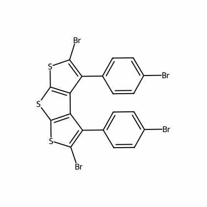 Brc1ccc(-c2c(Br)sc3sc4sc(Br)c(-c5ccc(Br)cc5)c4c23)cc1